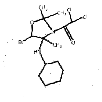 CCC1OC(C)(C)N(C(=O)C(Cl)Cl)C1(C)NC1CCCCC1